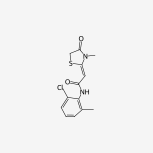 Cc1cccc(Cl)c1NC(=O)C=C1SCC(=O)N1C